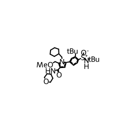 COCc1c(C(=O)NC2CCOCC2)cc(-c2ccc([S+]([O-])NC(C)(C)C)c(C(C)(C)C)c2)n1CC1CCCCC1